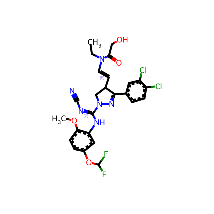 CCN(/C=C/C1CN(/C(=N\C#N)Nc2cc(OC(F)F)ccc2OC)N=C1c1ccc(Cl)c(Cl)c1)C(=O)CO